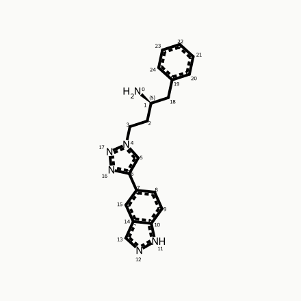 N[C@H](CCn1cc(-c2ccc3[nH]ncc3c2)nn1)Cc1ccccc1